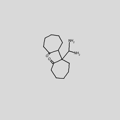 NC(N)C1(C2CCCCCC2=O)CCCCCC1=O